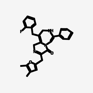 Cc1cc(CC2=NCC3=C(Cc4ccccc4F)CNC(c4ccccc4)=CN3C2=O)oc1C